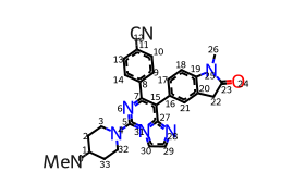 CNC1CCN(c2nc(-c3ccc(C#N)cc3)c(-c3ccc4c(c3)CC(=O)N4C)c3nccn23)CC1